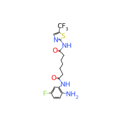 Nc1ccc(F)cc1NC(=O)CCCCCC(=O)Nc1ncc(C(F)(F)F)s1